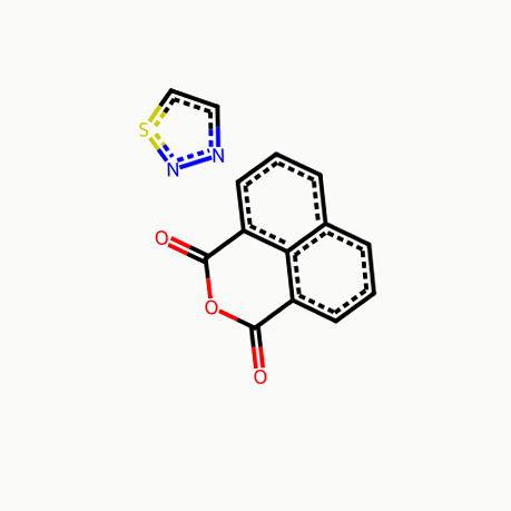 O=C1OC(=O)c2cccc3cccc1c23.c1csnn1